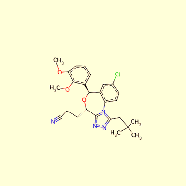 COc1cccc([C@@H]2O[C@@H](CCC#N)c3nnc(CC(C)(C)C)n3-c3ccc(Cl)cc32)c1OC